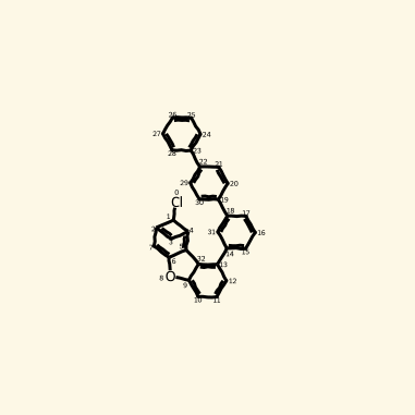 ClC1c2cc1c1c(c2)oc2cccc(-c3cccc(-c4ccc(-c5ccccc5)cc4)c3)c21